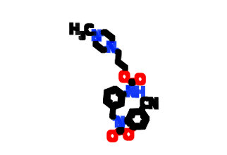 CN1CCN(CCCOC(=O)Nc2cccc(Cn3c(=O)oc4ccc(C#N)cc43)c2)CC1